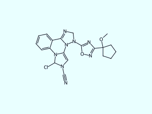 COC1(c2noc(N3CN=C4c5ccccc5N5C(=CN(C#N)C5Cl)N43)n2)CCCC1